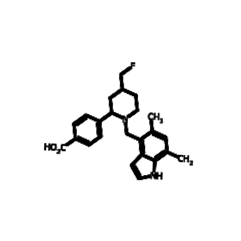 Cc1cc(C)c2[nH]ccc2c1CN1CCC(CF)CC1c1ccc(C(=O)O)cc1